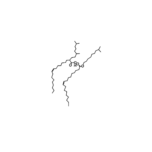 CCCCCCCC/C=C\CCCCCCC(CCC(C)CCCC(C)C)C(=O)O.CCCCCCCC/C=C\CCCCCCCC(=O)OCCCCCCCC(C)C